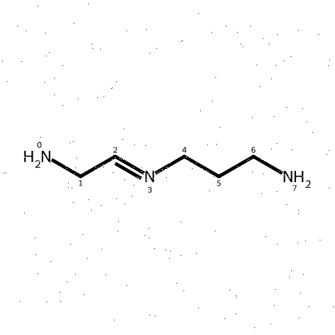 NCC=NCCCN